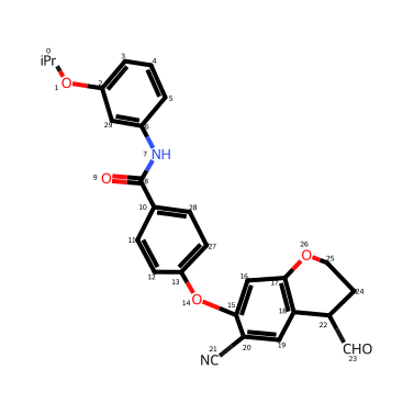 CC(C)Oc1cccc(NC(=O)c2ccc(Oc3cc4c(cc3C#N)C(C=O)CCO4)cc2)c1